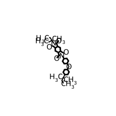 CCC(C)(C)c1ccc(Oc2ccc(-n3c(=O)c4cc5c(=O)n(C(C)(CC)CC)c(=O)c5cc4c3=O)cc2)cc1